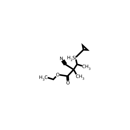 CCOC(=O)C(C)(C#N)C(C)[SiH2]C1CC1